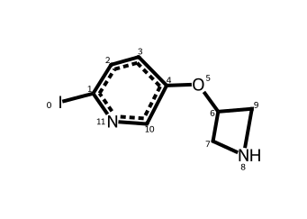 Ic1ccc(OC2CNC2)cn1